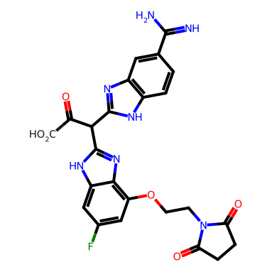 N=C(N)c1ccc2[nH]c(C(C(=O)C(=O)O)c3nc4c(OCCN5C(=O)CCC5=O)cc(F)cc4[nH]3)nc2c1